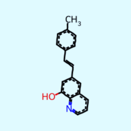 Cc1ccc(/C=C/c2cc(O)c3ncccc3c2)cc1